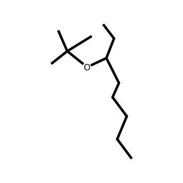 CCCCCC(CC)OC(C)(C)C